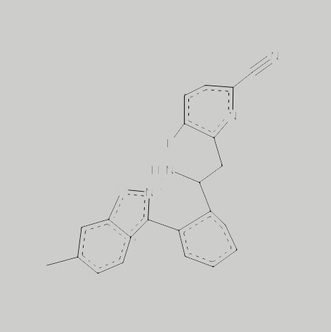 Cc1ccc2c(-c3ccccc3C(N)Cc3nc(C#N)ccc3F)noc2c1